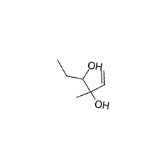 C=CC(C)(O)C(O)CC